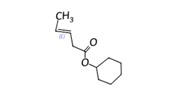 C/C=C/CC(=O)OC1CCCCC1